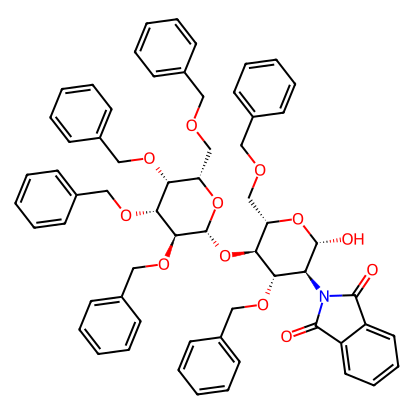 O=C1c2ccccc2C(=O)N1[C@H]1[C@H](OCc2ccccc2)[C@@H](O[C@H]2O[C@@H](COCc3ccccc3)[C@@H](OCc3ccccc3)[C@@H](OCc3ccccc3)[C@@H]2OCc2ccccc2)[C@H](COCc2ccccc2)O[C@@H]1O